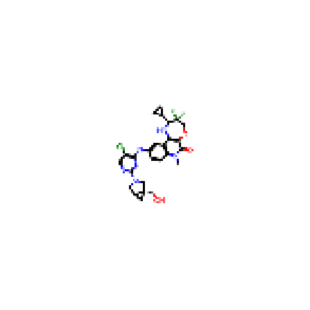 Cn1c(=O)c2c(c3cc(Nc4nc(N5C[C@]6(C)C[C@]6(CO)C5)ncc4Cl)ccc31)NC(C1CC1)C(F)(F)CO2